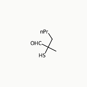 CCCCC(C)(S)C=O